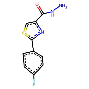 NNC(=O)c1csc(-c2ccc(F)cc2)n1